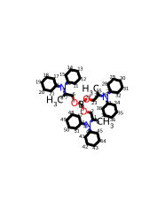 CC(COB(OCC(C)N(C1CCCCC1)C1CCCCC1)OCC(C)N(C1CCCCC1)C1CCCCC1)N(C1CCCCC1)C1CCCCC1